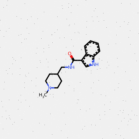 CN1CCC(CNC(=O)c2c[nH]c3ccccc23)CC1